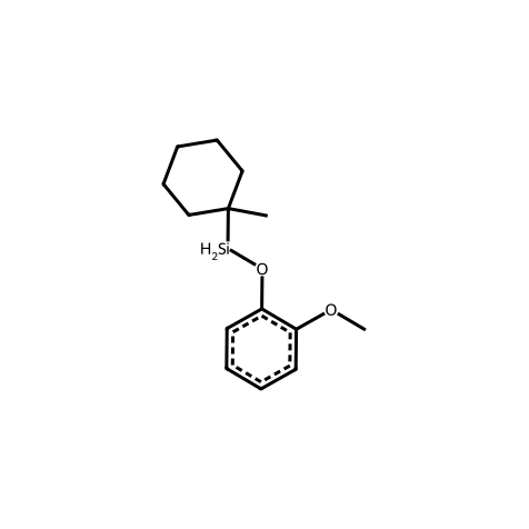 COc1ccccc1O[SiH2]C1(C)CCCCC1